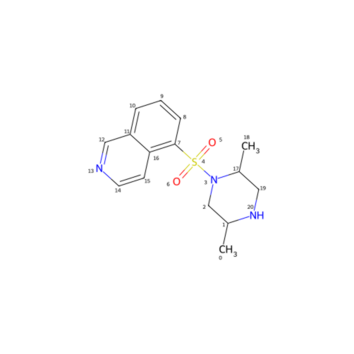 CC1CN(S(=O)(=O)c2cccc3cnccc23)C(C)CN1